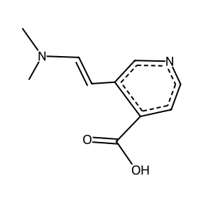 CN(C)/C=C/c1cnccc1C(=O)O